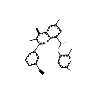 C#Cc1cccc(-c2oc3c([C@@H](C)Nc4ccc(Cl)nc4C)cc(C)cc3c(=O)c2C)c1